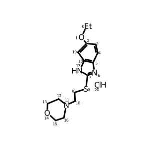 CCOc1ccc2nc(SCCN3CCOCC3)[nH]c2c1.Cl